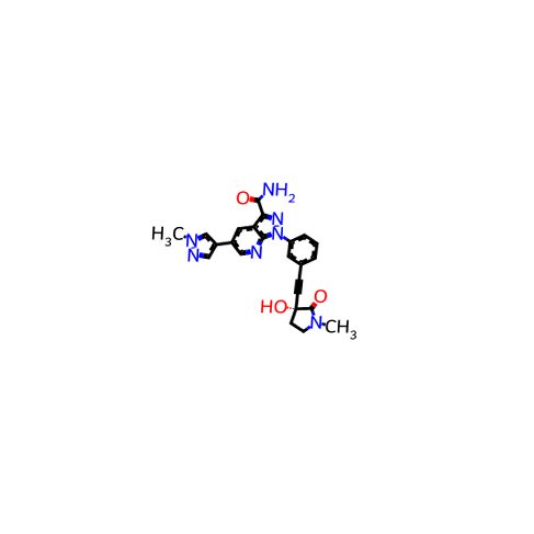 CN1CC[C@@](O)(C#Cc2cccc(-n3nc(C(N)=O)c4cc(-c5cnn(C)c5)cnc43)c2)C1=O